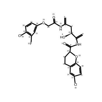 C=C(C[C@H](O)C(=C)NC(=O)C1CCc2cc(Cl)ccc2O1)NC(=O)COc1ccc(Cl)c(F)c1